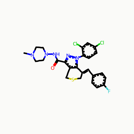 CN1CCN(NC(=O)c2nn(-c3ccc(Cl)cc3Cl)c3c2CSC/C3=C\c2ccc(F)cc2)CC1